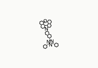 c1ccc(-c2nc(-c3ccccc3)nc(-c3ccc4cc(-n5c6ccc7cccc8oc9cccc%10ccc5c(c%109)c6c78)ccc4c3)n2)cc1